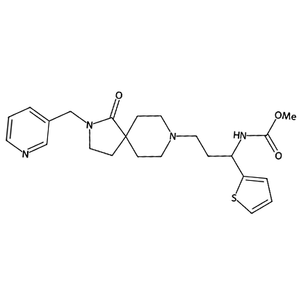 COC(=O)NC(CCN1CCC2(CC1)CCN(Cc1cccnc1)C2=O)c1cccs1